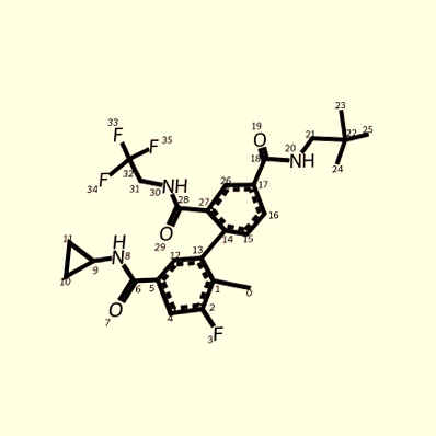 Cc1c(F)cc(C(=O)NC2CC2)cc1-c1ccc(C(=O)NCC(C)(C)C)cc1C(=O)NCC(F)(F)F